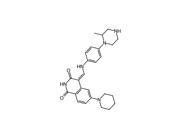 CC1CNCCN1c1ccc(N/C=C2\C(=O)NC(=O)c3ccc(N4CCCCC4)cc32)cc1